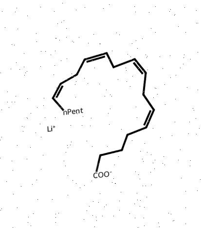 CCCCC/C=C\C/C=C\C/C=C\C/C=C\CCCC(=O)[O-].[Li+]